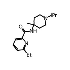 CCc1cccc(C(=O)NC2(C)CCN(C(C)C)CC2)n1